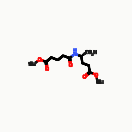 CC(C)(C)OC(=O)CCCC(=O)N[C@H](CCC(=O)OC(C)(C)C)C(=O)O